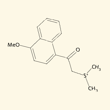 COc1ccc(C(=O)C[S+](C)C)c2ccccc12